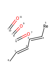 CC=CC=[CH][Re].[C]=O.[C]=O.[C]=O